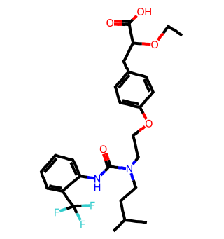 CCOC(Cc1ccc(OCCN(CCC(C)C)C(=O)Nc2ccccc2C(F)(F)F)cc1)C(=O)O